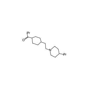 CC(C)C(=O)C1CCC(CCN2CCC(C(C)C)CC2)CC1